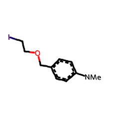 CNc1ccc(COCCI)cc1